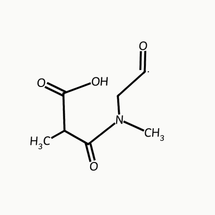 CC(C(=O)O)C(=O)N(C)C[C]=O